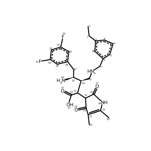 CCc1cccc(CNC[C@@H](C(C(=O)O)C2C(=O)NC(C)=C(C)C2=O)[C@@H](N)Cc2cc(F)cc(F)c2)c1